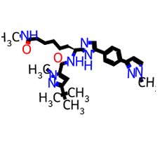 CNC(=O)CCCCC[C@H](NC(=O)c1cc(C(C)(C)C)nn1C)c1ncc(-c2ccc(-c3ccn(C)n3)cc2)[nH]1